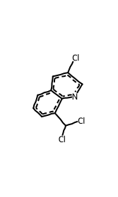 Clc1cnc2c(C(Cl)Cl)cccc2c1